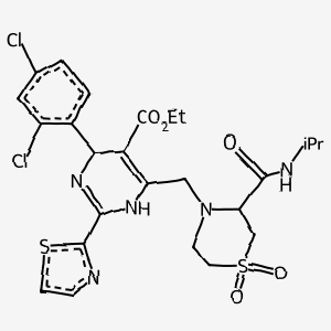 CCOC(=O)C1=C(CN2CCS(=O)(=O)CC2C(=O)NC(C)C)NC(c2nccs2)=NC1c1ccc(Cl)cc1Cl